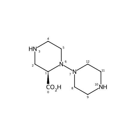 O=C(O)[C@H]1CNCCN1N1CCNCC1